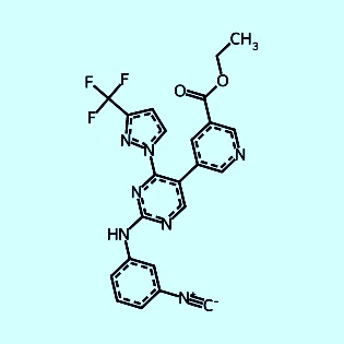 [C-]#[N+]c1cccc(Nc2ncc(-c3cncc(C(=O)OCC)c3)c(-n3ccc(C(F)(F)F)n3)n2)c1